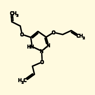 C=CCOC1=CC(OCC=C)=NN(OCC=C)N1